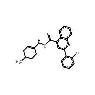 CC1CC=C(NNC(=O)c2cc(-c3ccccc3Cl)nc3ccccc23)CC1